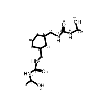 CC(O)NC(=O)NCC1CCCC(CNC(=O)NC(C)O)C1